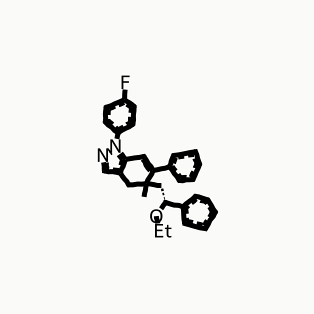 CCO[C@H](CC1(C)Cc2cnn(-c3ccc(F)cc3)c2C=C1c1ccccc1)c1ccccc1